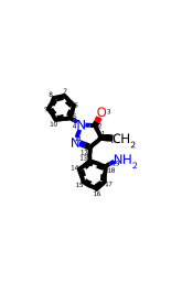 C=C1C(=O)N(c2ccccc2)N=C1c1ccccc1N